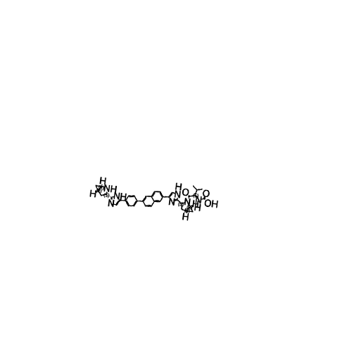 CC(C)[C@H](NC(=O)O)C(=O)N1[C@@H]2C[C@@H]2C[C@H]1c1nc(-c2ccc3cc(-c4ccc(-c5cnc([C@@H]6C[C@H]7C[C@H]7N6)[nH]5)cc4)ccc3c2)c[nH]1